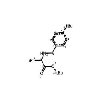 CC(C)C(NCc1ccc(C(C)(C)C)cc1)C(=O)OC(C)(C)C